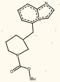 CC(C)(C)OC(=O)N1CCCC(Cc2cccc3nccn23)C1